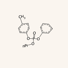 CCCOP(=O)(Oc1ccccc1)Oc1ccc(C)cc1